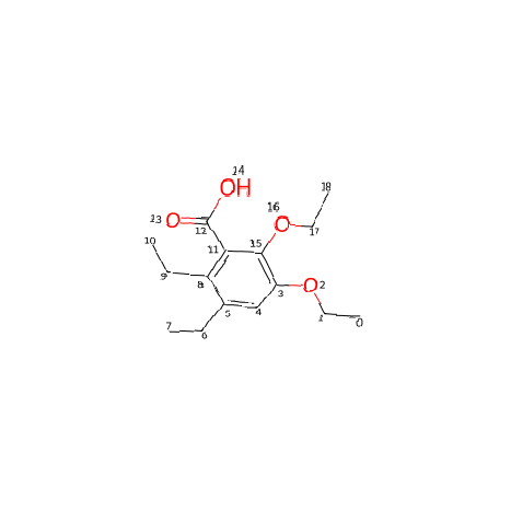 CCOc1cc(CC)c(CC)c(C(=O)O)c1OCC